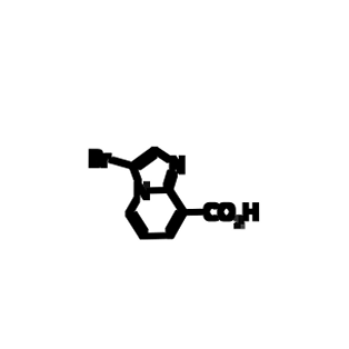 O=C(O)c1cccn2c(Br)cnc12